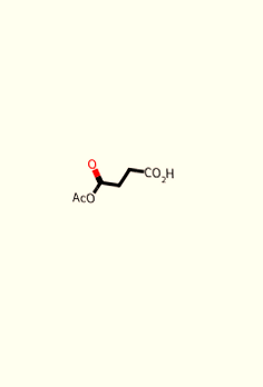 [CH2]C(=O)OC(=O)CCC(=O)O